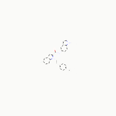 Cn1ccc2cc(NC(=O)c3cc4cc(F)ccc4n3CCc3ccc(C(C)(C)C)cc3)ccc21